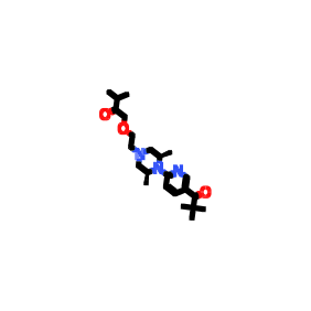 CC(C)C(=O)COCCN1C[C@@H](C)N(c2ccc(C(=O)C(C)(C)C)cn2)[C@@H](C)C1